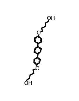 OCCCCCOc1ccc(-c2ccc(-c3ccc(OCCCCCO)cc3)cc2)cc1